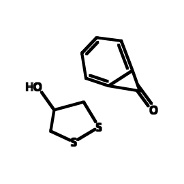 O=c1c2ccccc12.OC1CSSC1